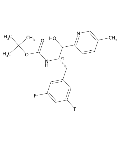 Cc1ccc(C(O)[C@H](Cc2cc(F)cc(F)c2)NC(=O)OC(C)(C)C)nc1